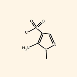 Cn1ncc(S(=O)(=O)Cl)c1N